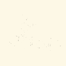 NC(=O)c1nn(-c2cc(F)c3c(c2)CCO3)c2c1CCN(c1ccc(N3CCCCC3=O)cc1)C2=O